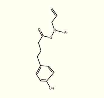 C=CCN(CCC)OC(=O)CCCc1ccc(O)cc1